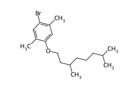 Cc1cc(OCCC(C)CCCC(C)C)c(C)cc1Br